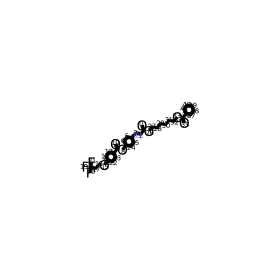 O=C(/C=C/c1ccc(OC(=O)c2ccc(OCCC(F)(F)F)cc2)cc1)OCCCCCCOC(=O)c1ccccc1